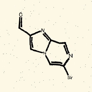 O=Cc1cn2cc(Br)ncc2n1